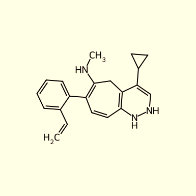 C=Cc1ccccc1C1=C(NC)CC2=C(C=C1)NNC=C2C1CC1